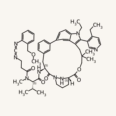 CCc1ccncc1-c1c2c3cc(ccc3n1CC)-c1cccc(c1)C[C@H](NC(=O)[C@H](C(C)C)N(C)C(=O)CCN=C=Nc1ccccc1COC)C(=O)N1CCC[C@H](N1)C(=O)OCC(C)(C)C2